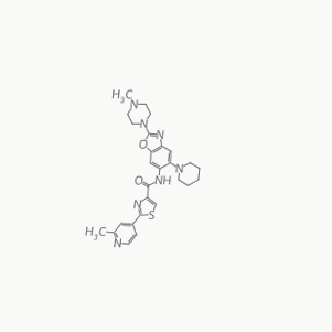 Cc1cc(-c2nc(C(=O)Nc3cc4oc(N5CCN(C)CC5)nc4cc3N3CCCCC3)cs2)ccn1